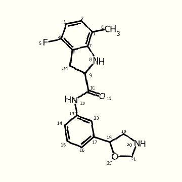 Cc1ccc(F)c2c1NC(C(=O)Nc1cccc(C3CNCO3)c1)C2